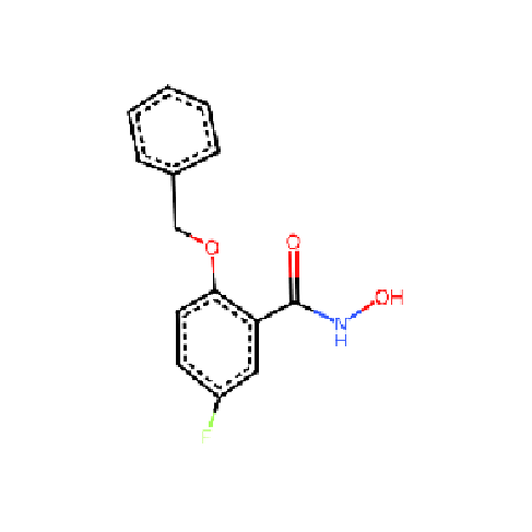 O=C(NO)c1cc(F)ccc1OCc1ccccc1